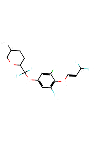 CCCC1CCC(C(F)(F)Oc2cc(F)c(O/C=C/C(F)F)c(Cl)c2)OC1